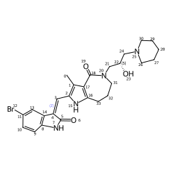 Cc1c(/C=C2\C(=O)Nc3ccc(Br)cc32)[nH]c2c1C(=O)N(C[C@@H](O)CN1CCCCC1)CCC2